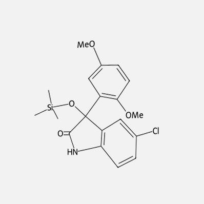 COc1ccc(OC)c(C2(O[Si](C)(C)C)C(=O)Nc3ccc(Cl)cc32)c1